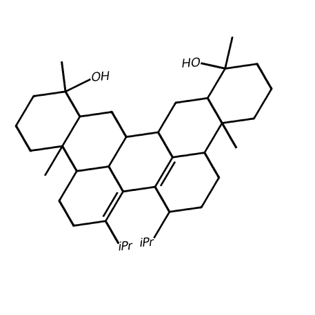 CC(C)C1=C2C3=C4C(CC5C(C)(O)CCCC5(C)C4CCC3C(C)C)C3CC4C(C)(O)CCCC4(C)C(CC1)C23